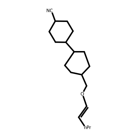 CCCC=COCC1CCC(C2CCC(C#N)CC2)CC1